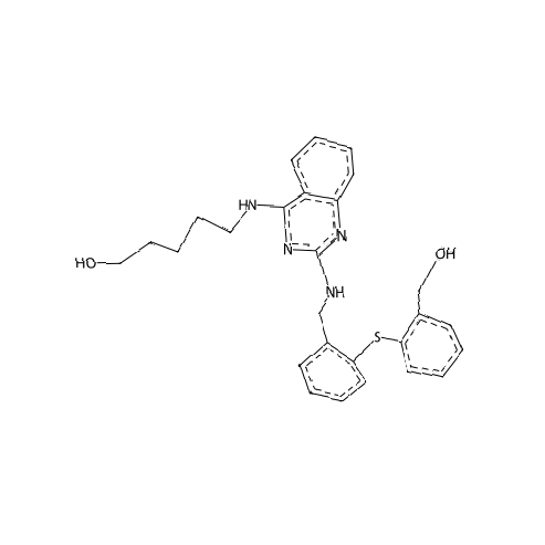 OCCCCCNc1nc(NCc2ccccc2Sc2ccccc2CO)nc2ccccc12